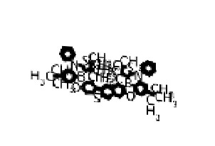 CC(C)(C)c1cc2c3c(c1)N(c1ccccc1)C1=C(B3c3cc4cc5c(cc4cc3O2)sc2cc3c(cc25)B2C4=C(SC(C)(C)C4(C)C)N(c4ccccc4)c4cc(C(C)(C)C)cc(c42)O3)C(C)(C)C(C)(C)S1